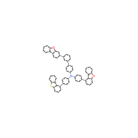 c1cc(-c2ccc(N(c3ccc(-c4cccc5oc6ccccc6c45)cc3)c3ccc(-c4cccc5sc6ccccc6c45)cc3)cc2)cc(-c2ccc3c(c2)oc2ccccc23)c1